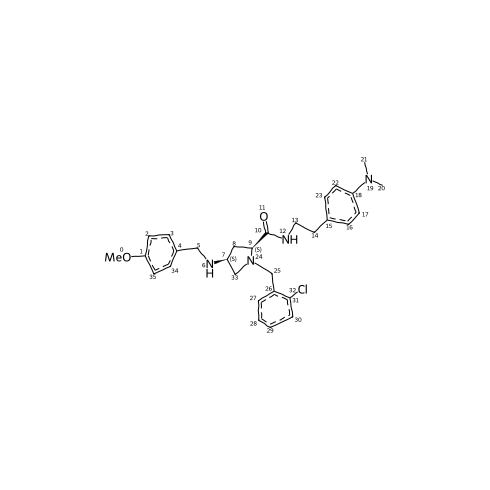 COc1ccc(CN[C@H]2C[C@@H](C(=O)NCCc3ccc(N(C)C)cc3)N(Cc3ccccc3Cl)C2)cc1